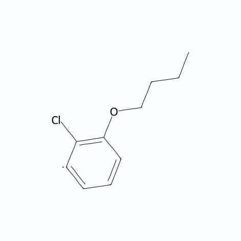 CCCCOc1ccc[c]c1Cl